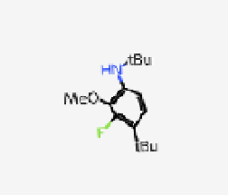 COc1c(NC(C)(C)C)ccc(C(C)(C)C)c1F